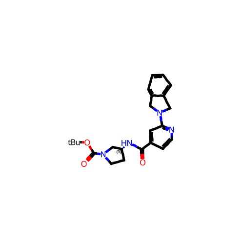 CC(C)(C)OC(=O)N1CC[C@@H](NC(=O)c2ccnc(N3Cc4ccccc4C3)c2)C1